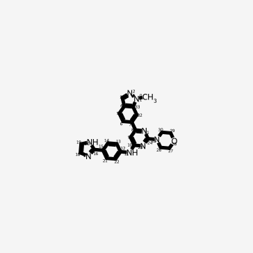 Cn1ncc2ccc(-c3cc(Nc4ccc(-c5ncc[nH]5)cc4)nc(N4CCOCC4)n3)cc21